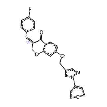 O=C1/C(=C\c2ccc(F)cc2)COc2cc(OCc3cnn(-c4ccccc4)c3)ccc21